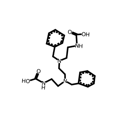 O=C(O)NCCN(CCN(CCNC(=O)O)Cc1ccccc1)Cc1ccccc1